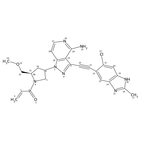 C=CC(=O)N1CC(n2nc(C#Cc3cc4nc(C)[nH]c4cc3Cl)c3c(N)nccc32)C[C@@H]1COC